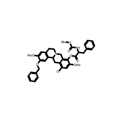 COc1cc2c(cc1OCc1ccccc1)C1Cc3c(Cl)cc(OC)c(OC(=O)C(Cc4ccccc4)NC(=O)OC(C)(C)C)c3CN1CC2